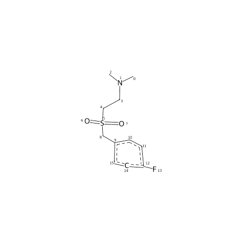 CN(C)CCS(=O)(=O)Cc1ccc(F)cc1